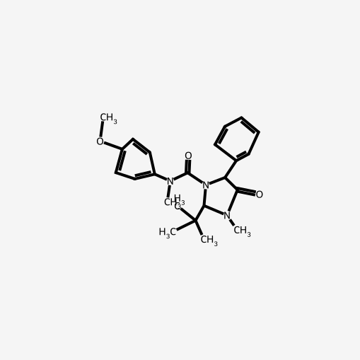 COc1ccc(N(C)C(=O)N2C(c3ccccc3)C(=O)N(C)C2C(C)(C)C)cc1